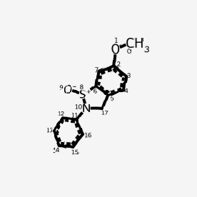 COc1ccc2c(c1)[S+]([O-])N(c1ccccc1)C2